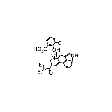 CCN(CC)C(=O)[C@@H]1C=C2c3cccc4[nH]cc(c34)C[C@H]2N(C)C1.O=C(O)c1cccc(Cl)c1O